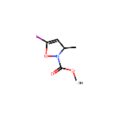 CC1C=C(I)ON1C(=O)OC(C)(C)C